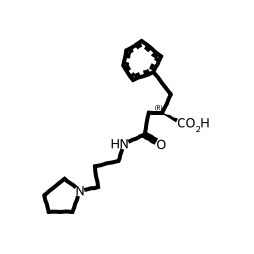 O=C(C[C@@H](Cc1ccccc1)C(=O)O)NCCCN1CCCC1